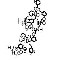 COc1cc([C@H](I)C(=O)N2CCCC[C@H]2C(=O)O[C@H](CCc2cccnc2)c2cccc(OCC(=O)NCCNC(=O)COc3cccc([C@@H](CCc4cccnc4)OC(=O)[C@@H]4CCCCN4C(=O)[C@@H](I)c4cc(OC)c(OC)c(OC)c4)c3)c2)cc(OC)c1OC